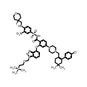 CC1(C)CCC(CN2CCN(c3ccc(C(=O)NS(=O)(=O)c4ccc(NCC5(F)CCOCC5)c([N+](=O)[O-])c4)c(Oc4cccc5c4nnn5COCC[Si](C)(C)C)c3)CC2)=C(c2ccc(Cl)cc2)C1